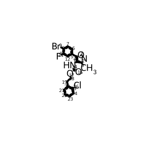 Cc1noc(-c2ccc(Br)c(F)c2)c1NC(=O)OCCc1ccccc1Cl